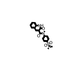 CN(C(=O)c1cc2ccccc2[nH]c1=O)c1ccc(S(=O)(=O)N(C)C)cc1